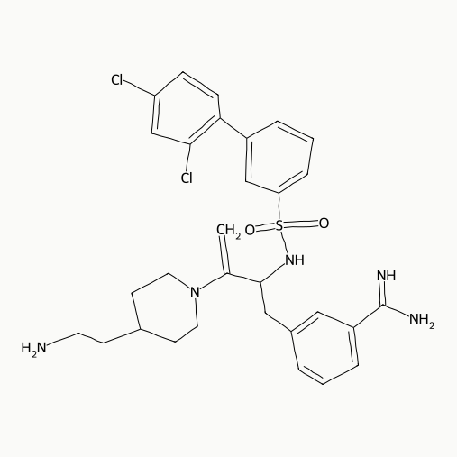 C=C(C(Cc1cccc(C(=N)N)c1)NS(=O)(=O)c1cccc(-c2ccc(Cl)cc2Cl)c1)N1CCC(CCN)CC1